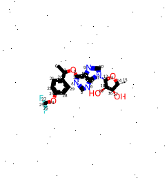 CC(Oc1ncnc2c1ncn2[C@@H]1O[C@H](C)[C@@H](O)[C@H]1O)c1ccc(OC(F)F)cc1